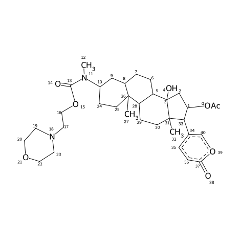 CC(=O)OC1CC2(O)C3CCC4CC(N(C)C(=O)OCCN5CCOCC5)CCC4(C)C3CCC2(C)C1c1ccc(=O)oc1